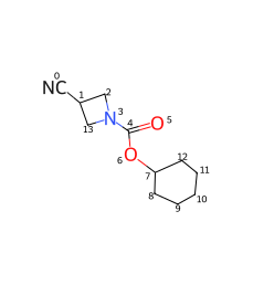 N#CC1CN(C(=O)OC2CCCCC2)C1